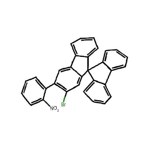 O=[N+]([O-])c1ccccc1-c1cc2c(cc1Br)C1(c3ccccc3-c3ccccc31)c1ccccc1-2